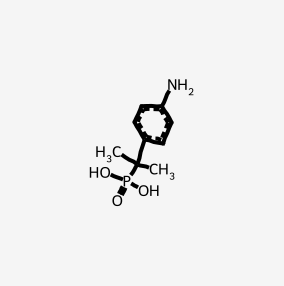 CC(C)(c1ccc(N)cc1)P(=O)(O)O